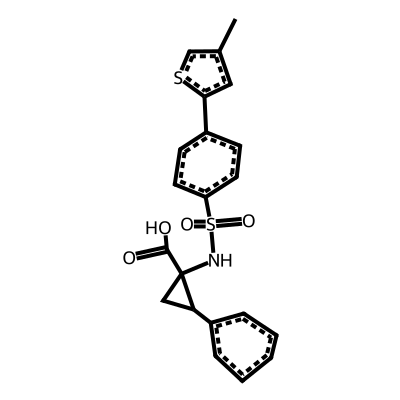 Cc1csc(-c2ccc(S(=O)(=O)NC3(C(=O)O)CC3c3ccccc3)cc2)c1